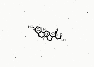 C[C@]12CC[C@H](O)CC1=CC[C@@H]1[C@@H]2CC[C@]2(C)/C(=C(\C#N)CC(=O)O)CC[C@@H]12